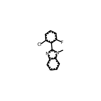 Cn1c(-c2c(F)cccc2Cl)nc2c[c]ccc21